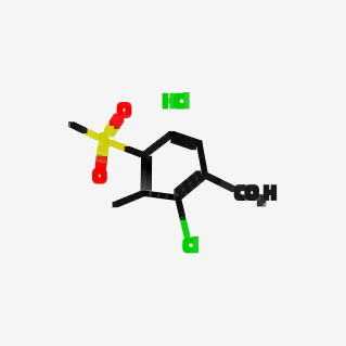 Cc1c(S(C)(=O)=O)ccc(C(=O)O)c1Cl.Cl